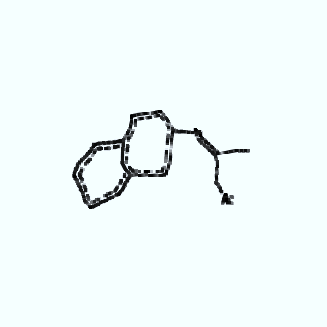 CC(=O)CC(C)=Nc1ccc2ccccc2c1